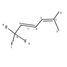 CC(C)=C/C=C/C(F)(F)F